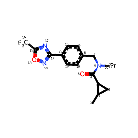 CC1CC1C(=O)N(Cc1ccc(-c2noc(C(F)(F)F)n2)cc1)C(C)C